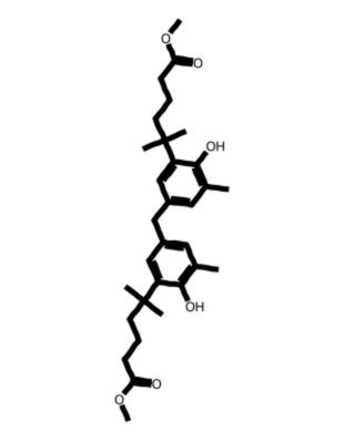 COC(=O)CCCC(C)(C)c1cc(Cc2cc(C)c(O)c(C(C)(C)CCCC(=O)OC)c2)cc(C)c1O